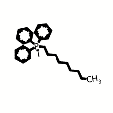 CCCCCCCCCP(I)(c1ccccc1)(c1ccccc1)c1ccccc1